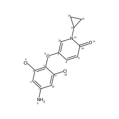 Nc1cc(Cl)c(Oc2ccc(=O)n(C3CC3)c2)c(Cl)c1